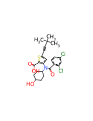 CC(C)(C)C#Cc1cc(N(C(=O)c2ccc(Cl)cc2Cl)C2CCC(O)CC2)c(C(=O)O)s1